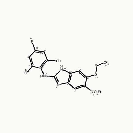 CCOC(=O)c1cc2nc(Nc3c(Cl)cc(F)cc3Cl)[nH]c2cc1OCC(F)(F)F